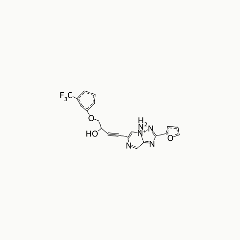 N[N+]12C=C(C#CC(O)COc3cccc(C(F)(F)F)c3)N=CC1=NC(c1ccco1)=N2